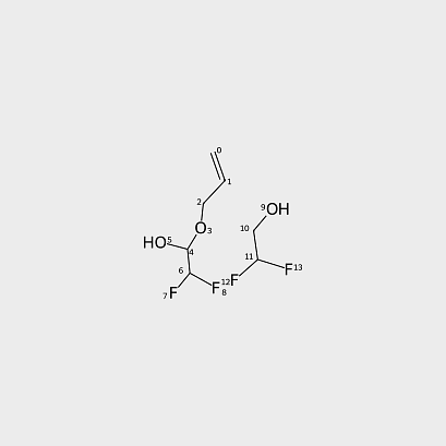 C=CCOC(O)C(F)F.OCC(F)F